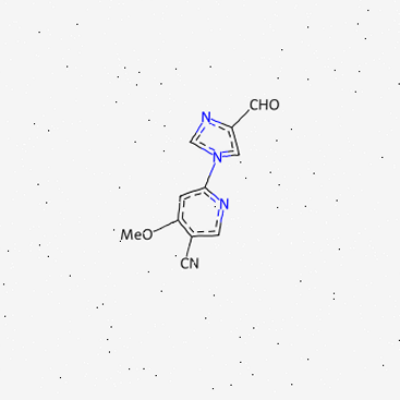 COc1cc(-n2cnc(C=O)c2)ncc1C#N